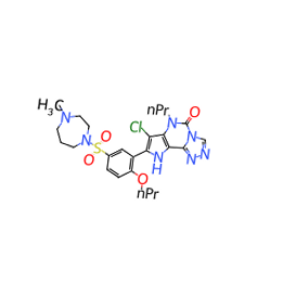 CCCOc1ccc(S(=O)(=O)N2CCCN(C)CC2)cc1-c1[nH]c2c(c1Cl)n(CCC)c(=O)n1cnnc21